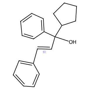 OC(/C=C/c1ccccc1)(c1ccccc1)C1CCCC1